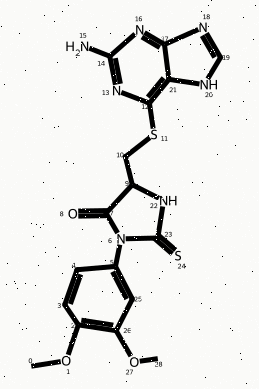 COc1ccc(N2C(=O)C(CSc3nc(N)nc4nc[nH]c34)NC2=S)cc1OC